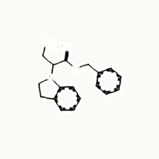 O=C(O)CC(C(=O)OCc1ccccc1)N1CCc2ccccc21